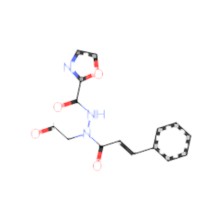 O=[C]CN(NC(=O)c1ncco1)C(=O)/C=C/c1ccccc1